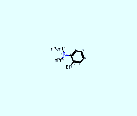 CCCCCN(CCC)c1ccccc1CC